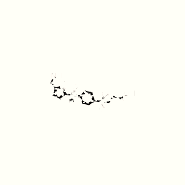 NCc1ccc(S(=O)(=O)c2ccc(S(=O)(=O)CCCO)cc2)s1